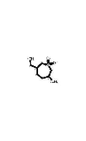 CCC1CCC(C)CS(=O)(=O)C1